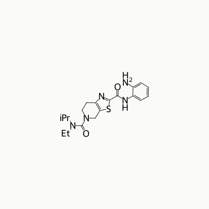 CCN(C(=O)N1CCc2nc(C(=O)Nc3ccccc3N)sc2C1)C(C)C